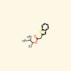 CCCC(CCC)[C@H](CC)OC(=O)Cc1cc2ccccc2s1